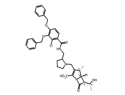 C[C@@H](O)[C@H]1C(=O)N2C(C(=O)O)=C(CN3CCCC3CNC(=O)c3ccc(OCc4ccccc4)c(OCc4ccccc4)c3Cl)[C@H](C)[C@H]12